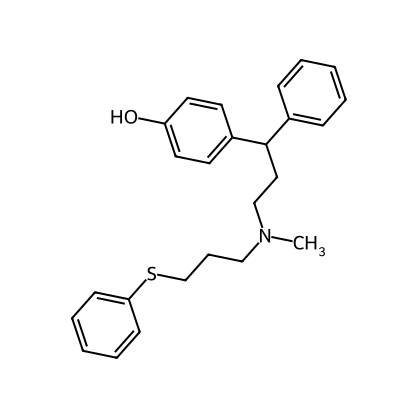 CN(CCCSc1ccccc1)CCC(c1ccccc1)c1ccc(O)cc1